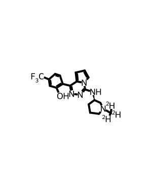 [2H]C([2H])([2H])N1CCC[C@@H](Nc2nnc(-c3ccc(C(F)(F)F)cc3O)c3cccn23)C1